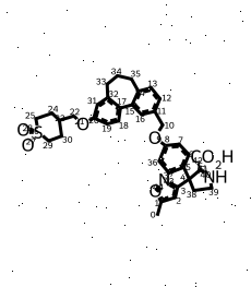 Cc1cc(C2(c3ccc(OCc4ccc5c(c4)-c4ccc(OCC6CCS(=O)(=O)CC6)cc4CCC5)cc3)CCN[C@@H]2C(=O)O)no1